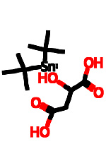 C[C](C)(C)[Sn][C](C)(C)C.O=C(O)CC(O)C(=O)O